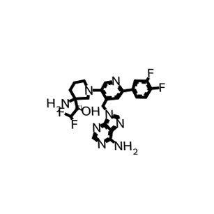 Nc1ncnc2c1ncn2Cc1cc(-c2ccc(F)c(F)c2)ncc1N1CCCC(N)([C@H](O)C(F)F)C1